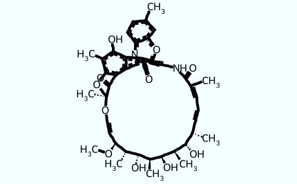 CO[C@H]1/C=C/O[C@@]2(C)Oc3c(C)c(O)c4c(=O)c(c5oc6cc(C)ccc6nc-5c4c3C2=O)NC(=O)/C(C)=C\C=C\[C@H](C)[C@H](O)[C@@H](C)[C@@H](O)[C@@H](C)[C@H](O)[C@@H]1C